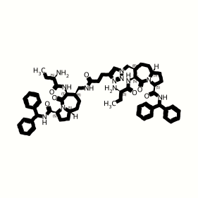 CC[C@H](N)C(=O)N[C@@H]1C(=O)N2[C@@H](CC[C@@H]1CNC(=O)CCc1cn(C[C@H]3CC[C@H]4CC[C@@H](C(=O)NC(c5ccccc5)c5ccccc5)N4C(=O)[C@H]3NC(=O)[C@@H](N)CC)nn1)CC[C@H]2C(=O)NC(c1ccccc1)c1ccccc1